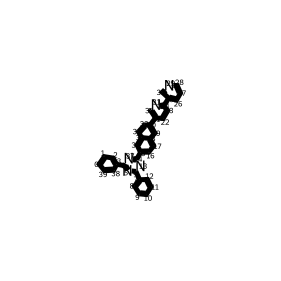 c1ccc(-c2nc(-c3ccccc3)nc(-c3ccc4cc(-c5ccc(-c6cccnc6)nc5)ccc4c3)n2)cc1